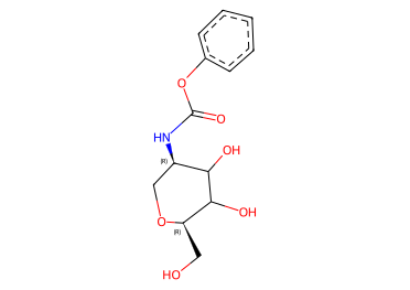 O=C(N[C@@H]1CO[C@H](CO)C(O)C1O)Oc1ccccc1